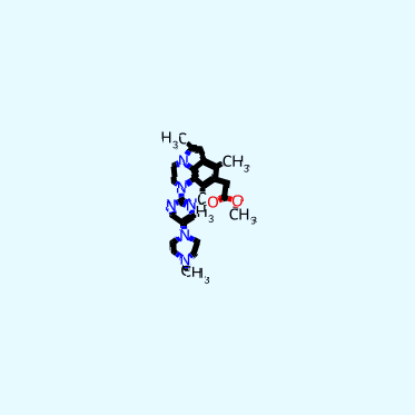 COC(=O)Cc1c(C)c2c3c(cc(C)n3CCN2c2ncc(N3CCN(C)CC3)cn2)c1C